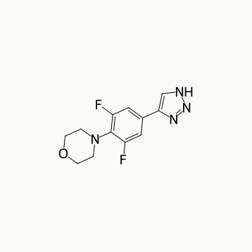 Fc1cc(-c2c[nH]nn2)cc(F)c1N1CCOCC1